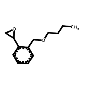 CCCCOCc1ccccc1C1CO1